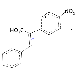 O=C(O)/C(=C\c1ccccc1)c1ccc([N+](=O)[O-])cc1